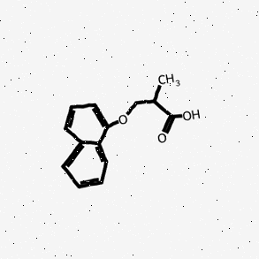 CC(COc1cccc2ccccc12)C(=O)O